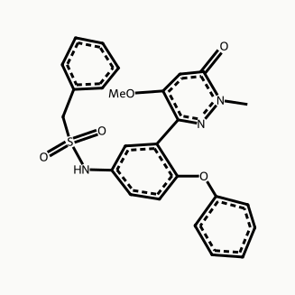 COc1cc(=O)n(C)nc1-c1cc(NS(=O)(=O)Cc2ccccc2)ccc1Oc1ccccc1